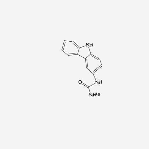 CNC(=O)Nc1ccc2[nH]c3ccccc3c2c1